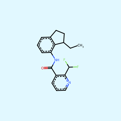 CCC1CCc2cccc(NC(=O)c3cccnc3C(F)F)c21